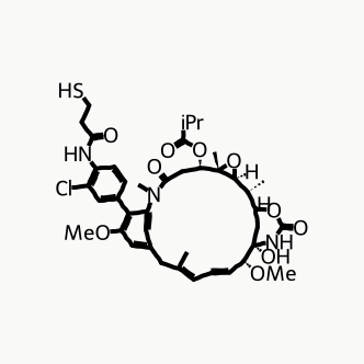 COc1cc2cc(c1-c1ccc(NC(=O)CCS)c(Cl)c1)N(C)C(=O)C[C@H](OC(=O)C(C)C)[C@]1(C)O[C@H]1[C@H](C)[C@@H]1C[C@@](O)(NC(=O)O1)[C@H](OC)/C=C/C=C(\C)C2